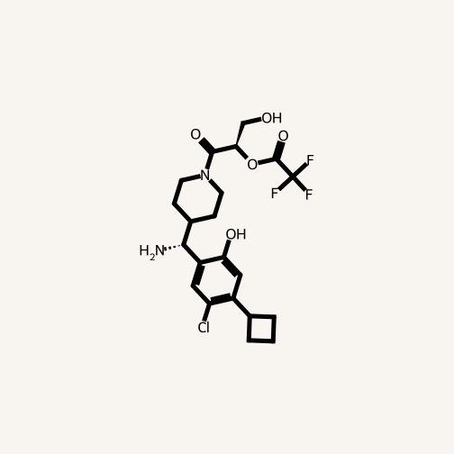 N[C@@H](c1cc(Cl)c(C2CCC2)cc1O)C1CCN(C(=O)[C@@H](CO)OC(=O)C(F)(F)F)CC1